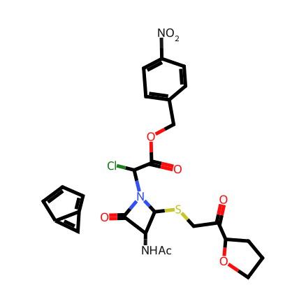 CC(=O)NC1C(=O)N(C(Cl)C(=O)OCc2ccc([N+](=O)[O-])cc2)C1SCC(=O)C1CCCO1.c1cc2cc-2c1